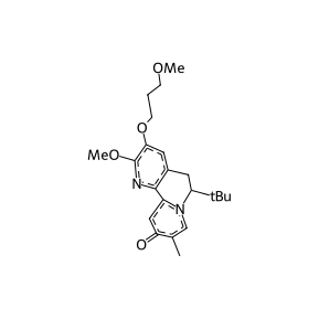 COCCCOc1cc2c(nc1OC)-c1cc(=O)c(C)cn1C(C(C)(C)C)C2